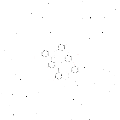 Cc1cc(C2Oc3c(cc(O)cc3C3CC(c4ccc(O)c(O)c4)Oc4c(C5CC(c6ccc(O)c(O)c6)Oc6c(O)cc(O)cc65)cc(O)cc43)CC2O)cc(O)c1O